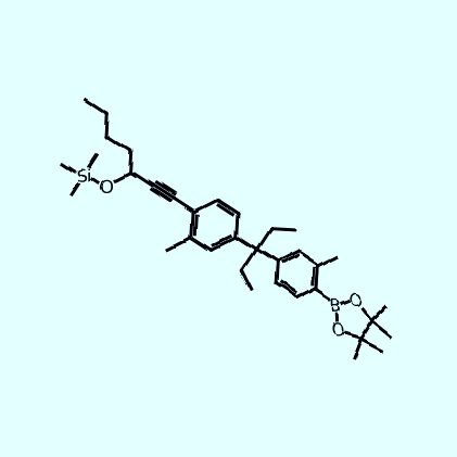 CCCCC(C#Cc1ccc(C(CC)(CC)c2ccc(B3OC(C)(C)C(C)(C)O3)c(C)c2)cc1C)O[Si](C)(C)C